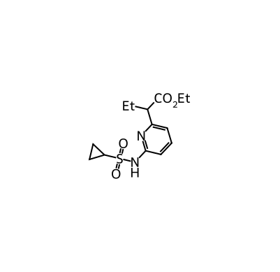 CCOC(=O)C(CC)c1cccc(NS(=O)(=O)C2CC2)n1